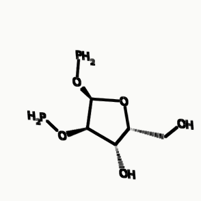 OC[C@H]1O[C@H](OP)[C@H](OP)[C@H]1O